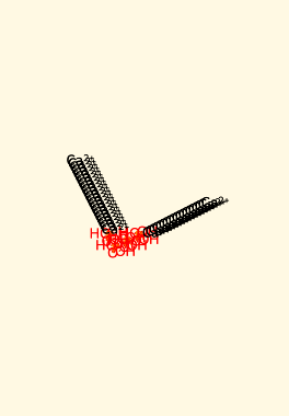 O=P(O)(O)O.O=P(O)(O)O.O=P(O)(O)O.O=P(O)(O)O.[Ca+2].[Ca+2].[Ca+2].[Ca+2].[Ca+2].[Ca+2].[Ca+2].[Ca+2].[Ca+2].[Ca+2].[Ca+2].[Ca+2].[Ca+2].[Ca+2].[Ca+2].[Ca+2].[Ca+2].[Ca+2].[Ca+2].[Ca+2].[Ca+2].[Ca+2].[Ca+2].[Ca+2].[Ca+2].[Ca+2].[Ca+2].[Ca+2].[Ca+2].[Ca+2].[Ca+2].[Ca+2].[Ca+2].[Ca+2].[Ca+2].[Ca+2].[Ca+2].[Ca+2].[Ca+2].[Ca+2].[Ca+2]